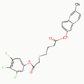 N#Cc1ccc2cc(OC(=O)CCCCCC(=O)Oc3cc(F)c(F)c(F)c3)ccc2c1